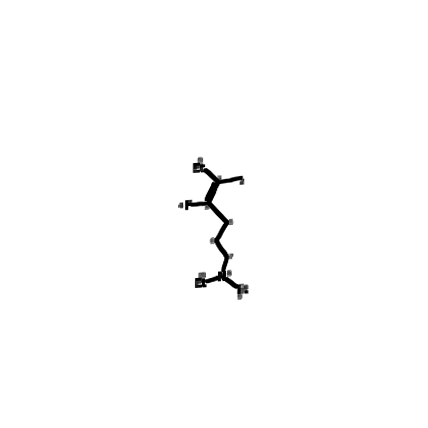 CC/C(C)=C(\F)CCCN(CC)CC